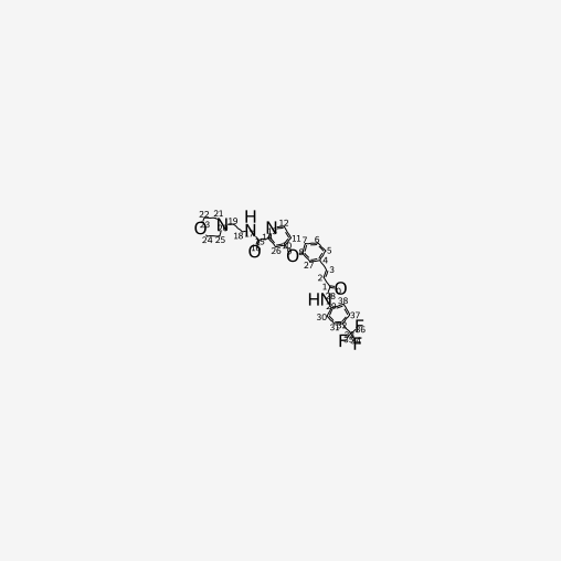 O=C(C=Cc1cccc(Oc2ccnc(C(=O)NCCN3CCOCC3)c2)c1)Nc1ccc(C(F)(F)F)cc1